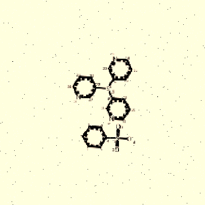 O=S(=O)([O-])c1ccccc1.c1cncc([S+](c2cccnc2)c2cccnc2)c1